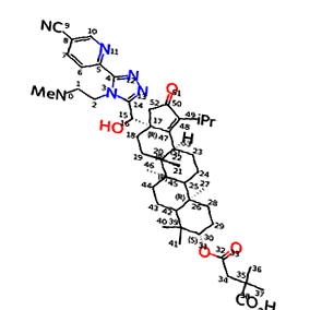 CNCCn1c(-c2ccc(C#N)cn2)nnc1C(O)[C@@]12CC[C@]3(C)[C@H](CCC4[C@@]5(C)CC[C@H](OC(=O)CC(C)(C)C(=O)O)C(C)(C)C5CC[C@]43C)C1=C(C(C)C)C(=O)C2